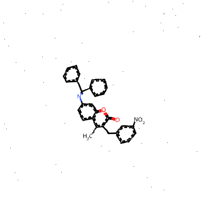 Cc1c(Cc2cccc([N+](=O)[O-])c2)c(=O)oc2cc(N=C(c3ccccc3)c3ccccc3)ccc12